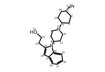 CC(C)[C@H]1CC[C@@H](N2CCC(n3c(CCO)cc4ccccc43)CC2)CC1